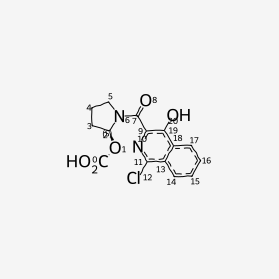 O=C(O)O[C@H]1CCCN1C(=O)c1nc(Cl)c2ccccc2c1O